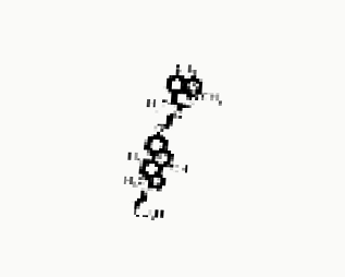 C[C@H]1C(OCCO[C@@H]2CC[C@@]3(C)C(C2)C[C@H](O)C2C3CC[C@@]3(C)C2CC[C@@H]3CCCC(=O)O)OC2O[C@@]3(C)CCC4[C@H](C)CCC1[C@@]24O3